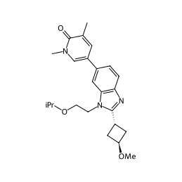 CO[C@H]1C[C@H](c2nc3ccc(-c4cc(C)c(=O)n(C)c4)cc3n2CCOC(C)C)C1